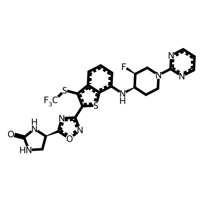 O=C1NC[C@H](c2nc(-c3sc4c(N[C@@H]5CCN(c6ncccn6)C[C@@H]5F)cccc4c3SC(F)(F)F)no2)N1